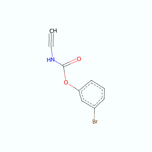 C#CNC(=O)Oc1cccc(Br)c1